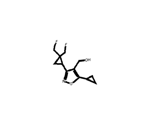 OCc1c(C2CC2(CF)CF)noc1C1CC1